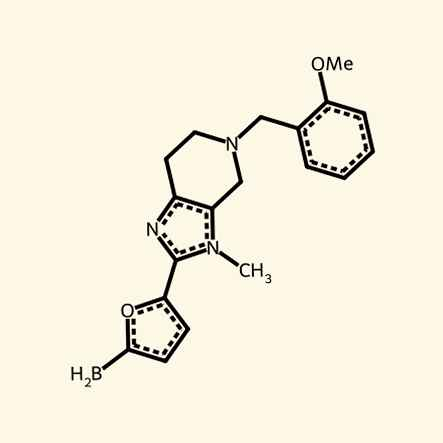 Bc1ccc(-c2nc3c(n2C)CN(Cc2ccccc2OC)CC3)o1